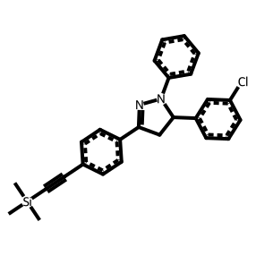 C[Si](C)(C)C#Cc1ccc(C2=NN(c3ccccc3)C(c3cccc(Cl)c3)C2)cc1